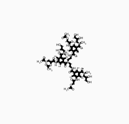 CC(=O)OCC(=O)Nc1c(I)c(C(=O)NCCN(CCNC(=O)c2c(I)c(NC(=O)COC(C)=O)c(I)c(C(=O)N(C)CC(O)CO)c2I)C(=O)c2c(I)c(NC(=O)C(COC(C)=O)OC(C)=O)c(I)c(C(=O)N(C)CC(O)CO)c2I)c(I)c(C(=O)N(C)CC(O)CO)c1I